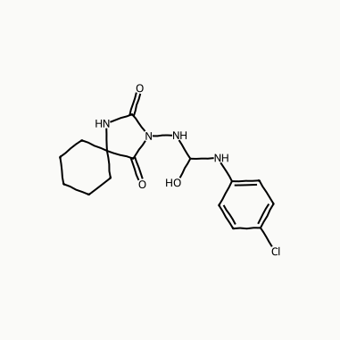 O=C1NC2(CCCCC2)C(=O)N1NC(O)Nc1ccc(Cl)cc1